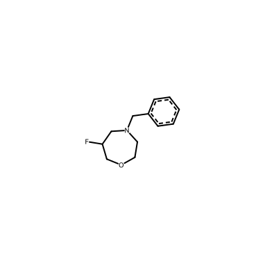 FC1COCCN(Cc2ccccc2)C1